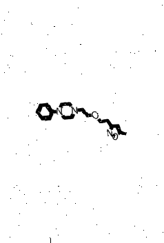 Cc1cc(CCOCCN2CCN(c3ccccc3)CC2)no1